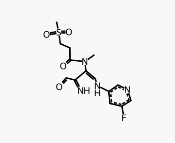 CN(C(=O)CCS(C)(=O)=O)/C(=C/Nc1cncc(F)c1)C(=N)C=O